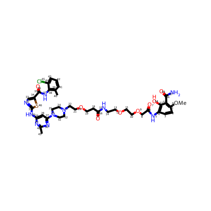 COc1ccc(NC(=O)COCCOCCNC(=O)CCOCCN2CCN(c3cc(Nc4ncc(C(=O)Nc5c(C)cccc5Cl)s4)nc(C)n3)CC2)c(O)c1C(N)=O